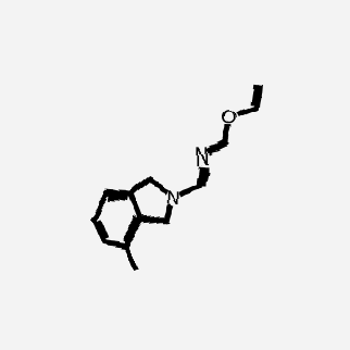 C=COC/N=C/N1Cc2cccc(C)c2C1